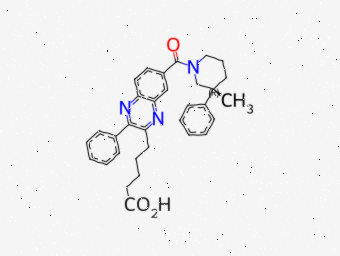 C[C@]1(c2ccccc2)CCCN(C(=O)c2ccc3nc(-c4ccccc4)c(CCCCC(=O)O)nc3c2)C1